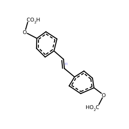 O=C(O)Oc1ccc(/C=C/c2ccc(OC(=O)O)cc2)cc1